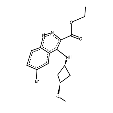 CCOC(=O)c1nnc2ccc(Br)cc2c1N[C@H]1C[C@@H](OC)C1